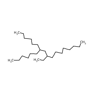 CCCCCCCCC(CC)CC(CCCCCC)CCCCCC